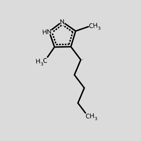 CCCC[CH]c1c(C)n[nH]c1C